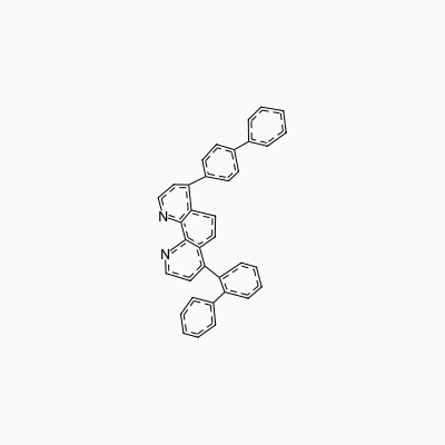 c1ccc(-c2ccc(-c3ccnc4c3ccc3c(-c5ccccc5-c5ccccc5)ccnc34)cc2)cc1